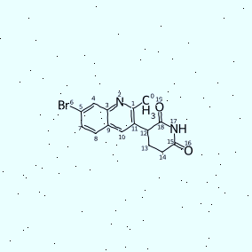 Cc1nc2cc(Br)ccc2cc1C1CCC(=O)NC1=O